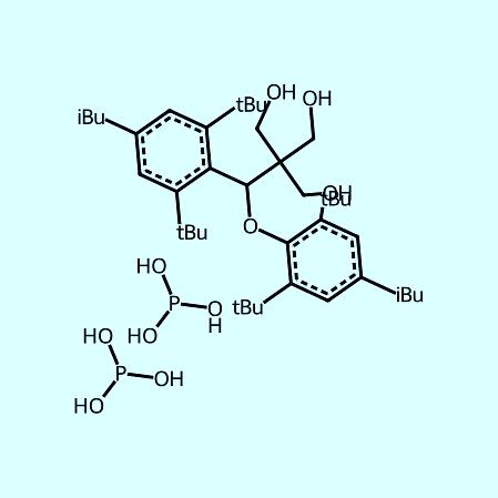 CCC(C)c1cc(C(C)(C)C)c(OC(c2c(C(C)(C)C)cc(C(C)CC)cc2C(C)(C)C)C(CO)(CO)CO)c(C(C)(C)C)c1.OP(O)O.OP(O)O